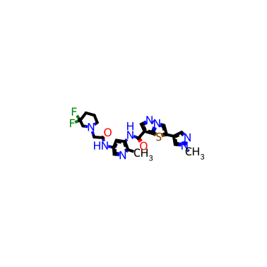 Cc1ncc(NC(=O)CN2CCCC(F)(F)C2)cc1NC(=O)c1cnn2cc(-c3cnn(C)c3)sc12